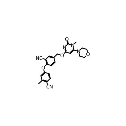 Cc1cc(Oc2ccc(COc3cc(N4CCOCC4)n(C)c(=O)n3)cc2C#N)ccc1C#N